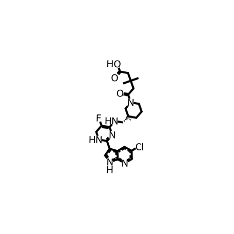 CC(C)(CC(=O)O)CC(=O)N1CCC[C@H](CNC2=C(F)CNC(c3c[nH]c4ncc(Cl)cc34)=N2)C1